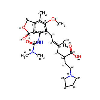 COc1c(C)c2c(c(NC(=O)N(C)C)c1C/C=C(\C)CC(CCN1CCCC1)C(=O)O)C(=O)OC2